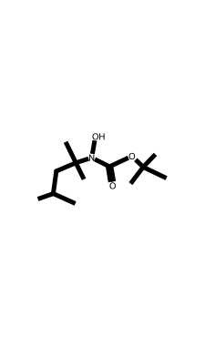 CC(C)CC(C)(C)N(O)C(=O)OC(C)(C)C